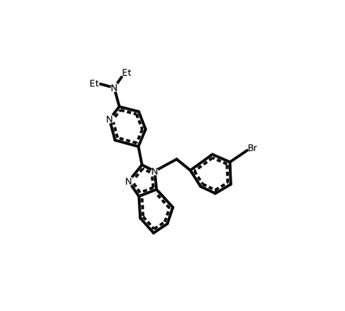 CCN(CC)c1ccc(-c2nc3ccccc3n2Cc2cccc(Br)c2)cn1